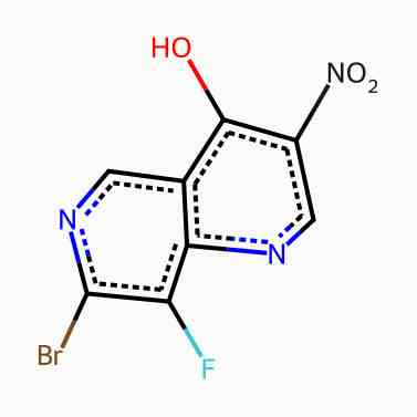 O=[N+]([O-])c1cnc2c(F)c(Br)ncc2c1O